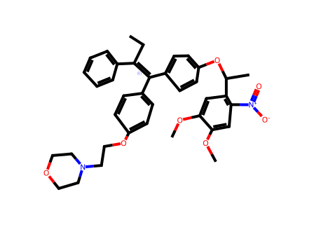 CC/C(=C(/c1ccc(OCCN2CCOCC2)cc1)c1ccc(OC(C)c2cc(OC)c(OC)cc2[N+](=O)[O-])cc1)c1ccccc1